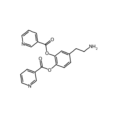 NCCc1ccc(OC(=O)c2cccnc2)c(OC(=O)c2cccnc2)c1